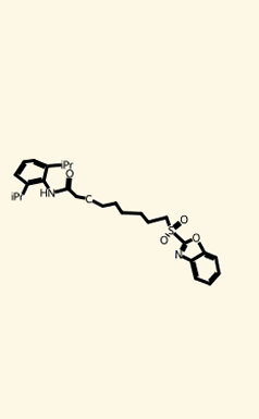 CC(C)c1cccc(C(C)C)c1NC(=O)CCCCCCCCS(=O)(=O)c1nc2ccccc2o1